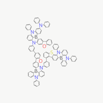 c1ccc(N(c2ccccc2)c2ccc3c(c2)N(c2ccccc2)c2cccc4c2B3c2cc3c(cc2N4c2cccc(-c4ccc5oc6c7c(ccc6c5c4)B4c5ccccc5N(c5ccccc5)c5cccc(c54)N7c4cccc(-c5cccc6sc7c8c(ccc7c56)B5c6ccccc6N(c6ccccc6)c6cccc(c65)N8c5ccccc5)c4)c2)oc2ccccc23)cc1